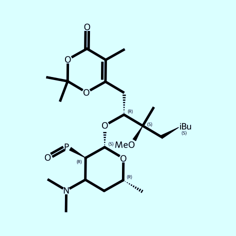 CC[C@H](C)C[C@](C)(OC)[C@@H](CC1=C(C)C(=O)OC(C)(C)O1)O[C@@H]1O[C@H](C)CC(N(C)C)[C@H]1P=O